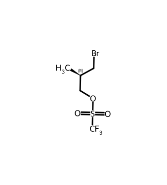 C[C@@H](CBr)COS(=O)(=O)C(F)(F)F